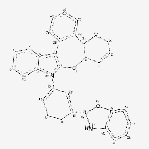 C1=CC2Oc3c(c4ccccc4n3C3=CCCC([C@H]4Nc5ccccc5O4)=C3)-c3ccccc3C2CC1